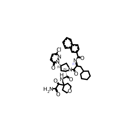 NC(=O)C(=O)C1(NC(=O)[C@@H]2C[C@H](n3nc(Cl)ccc3=O)CN2C(=O)/C(CC2CCCCC2)=N/C(=O)c2ccc3ccccc3c2)CCOCC1